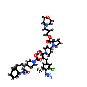 Nc1c(Cl)cc(C[C@@H](OC(=O)N2CCC(N3CCc4ccccc4NC3=O)CC2)C(=O)N2CCC(N3CCC[C@@H]3C(=O)OCCCN3CCOCC3)CC2)cc1C(F)(F)F